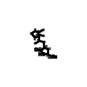 CC1CCC[N+]1(C)C(C)CC1CC(C(C)(C)C)NC1=O